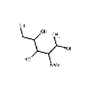 [CH2]C(O)C(NC)C(O)C(O)CO